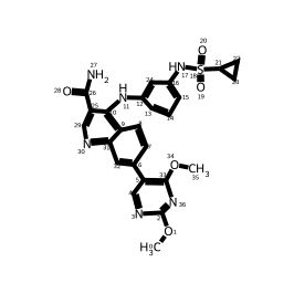 COc1ncc(-c2ccc3c(Nc4cccc(NS(=O)(=O)C5CC5)c4)c(C(N)=O)cnc3c2)c(OC)n1